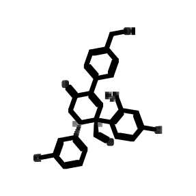 Nc1cc(Cl)ccc1[C@@]1(C=O)C=C(c2ccc(CO)cc2)C(=O)C[C@H]1c1cccc(Cl)c1